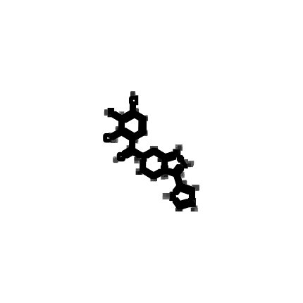 O=C(c1ccc(Cl)c(F)c1Cl)N1CCn2c(nnc2-c2cncs2)C1